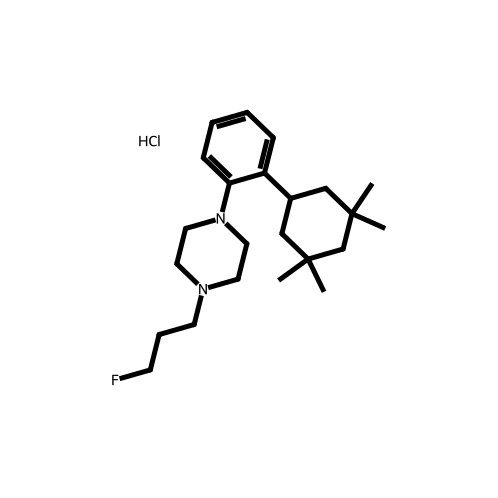 CC1(C)CC(c2ccccc2N2CCN(CCCF)CC2)CC(C)(C)C1.Cl